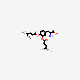 CC(C)CCC(=O)Oc1ccc(C[C@H](N)C(=O)O)cc1OC(=O)CCC(C)C